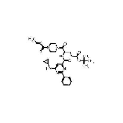 CCOC(=O)N1CCN(C(=O)C(CCC(=O)OC(C)(C)C)NC(=O)c2cc(NC3CC3)nc(-c3ccccc3)n2)CC1